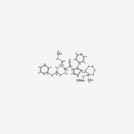 COC[C@]1(O)CCCC[C@H]1n1cnc(C(=O)N2CCN(Cc3ccccc3)C[C@H]2CCO)c1-c1ccccc1